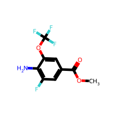 COC(=O)c1cc(F)c(N)c(OC(F)(F)F)c1